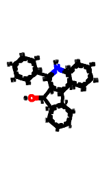 O=C1c2ccccc2-c2c1c(-c1ccccc1)nc1ccccc21